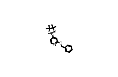 CC1(C)OB(c2ccnc(OCc3ccccc3)c2)OC1(C)C